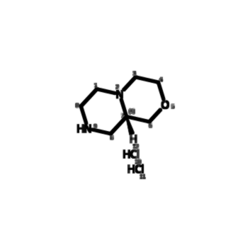 C1CN2CCOC[C@@H]2CN1.Cl.Cl